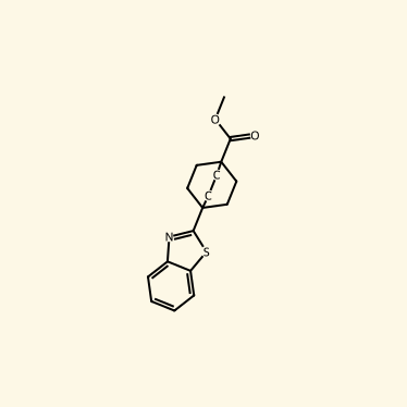 COC(=O)C12CCC(c3nc4ccccc4s3)(CC1)CC2